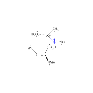 CN[C@@H](CC(C)C)C(=O)O.C[C@H](NC(C)(C)C)C(=O)O